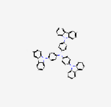 O=Cc1ccc2c(c1)c1ccccc1n2-c1ccc(N(c2ccc(-n3c4ccccc4c4ccccc43)cc2)c2ccc(-n3c4ccccc4c4ccccc43)cc2)cc1